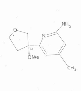 CO[C@]1(c2cc(C)cc(N)n2)CCOC1